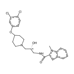 Cn1c(C(=O)NC[C@@H](O)CN2CCC(Oc3ccc(Cl)c(Cl)c3)CC2)cc2ccccc21